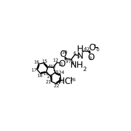 COC(=O)CNCC(N)C(=O)OCC1c2ccccc2-c2ccccc21.Cl